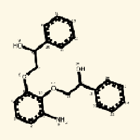 Nc1cccc(OCC(O)c2ccccc2)c1OCC(O)c1ccccc1